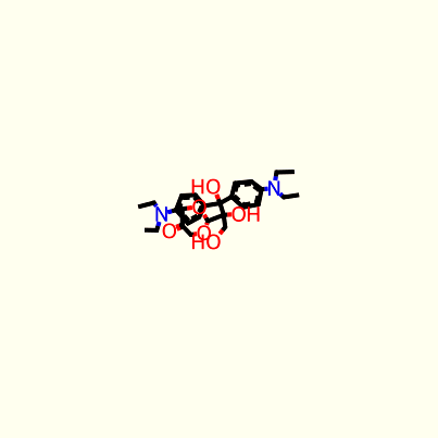 CCN(CC)c1ccc(C(O)(c2ccc(N(CC)CC)cc2)C(O)(CO)C2OCC(=O)CO2)cc1